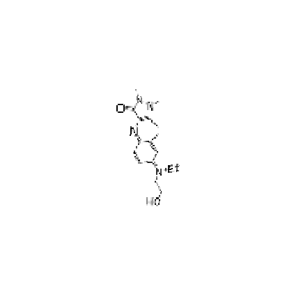 CC/[N+](CCO)=C1C=C/C(=N/c2c(C)n(C)n(C)c2=O)C(C)=C/1